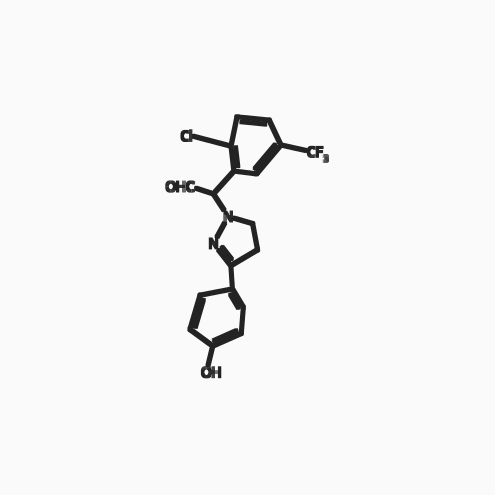 O=CC(c1cc(C(F)(F)F)ccc1Cl)N1CCC(c2ccc(O)cc2)=N1